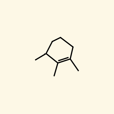 C[C]1CCCC(C)=C1C